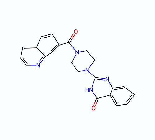 O=C(c1ccc2cccnc2c1)N1CCN(c2nc3ccccc3c(=O)[nH]2)CC1